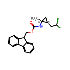 O=C(N[C@]1(C(=O)O)C[C@H]1CC(F)F)OCC1c2ccccc2-c2ccccc21